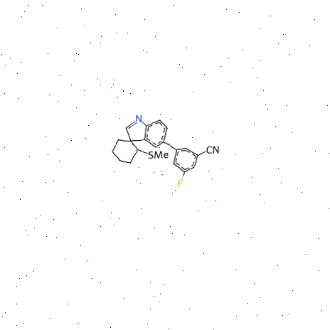 CSC1CCCCC12C=Nc1ccc(-c3cc(F)cc(C#N)c3)cc12